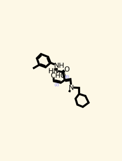 Cc1cccc(NNC(=O)C(/C=C\C=O)=C/N(C)CC2CCCCC2)c1